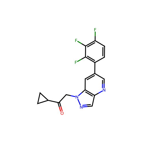 O=C(Cn1ncc2ncc(-c3ccc(F)c(F)c3F)cc21)C1CC1